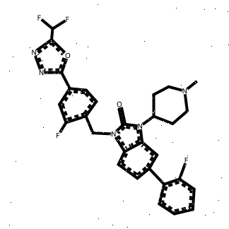 CN1CCC(n2c(=O)n(Cc3ccc(-c4nnc(C(F)F)o4)cc3F)c3ccc(-c4ccccc4F)cc32)CC1